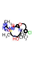 C[C@H]1C/C=C/[C@H](O)[C@H](C)[C@@H](C)CN2Cc3ccc(Cl)cc3CCCCOc3ccc(cc32)C(=O)N=S(=O)(Nc2ncnc3nn(C)cc23)C1